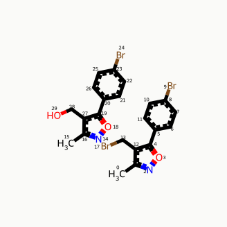 Cc1noc(-c2ccc(Br)cc2)c1CBr.Cc1noc(-c2ccc(Br)cc2)c1CO